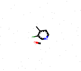 C=O.Cc1ccncc1F